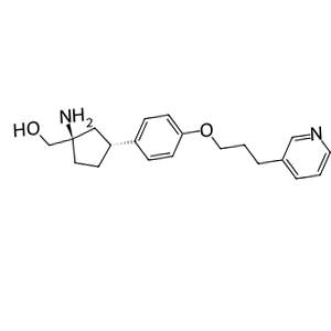 N[C@]1(CO)CC[C@@H](c2ccc(OCCCc3cccnc3)cc2)C1